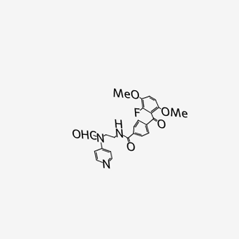 COc1ccc(OC)c(C(=O)c2ccc(C(=O)NCCN(C=O)c3ccncc3)cc2)c1F